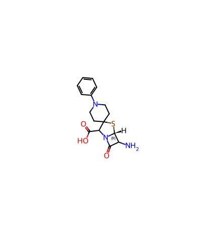 NC1C(=O)N2C(C(=O)O)C3(CCN(c4ccccc4)CC3)S[C@H]12